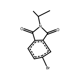 CC(C)N1C(=O)c2ccc(Br)cc2C1=O